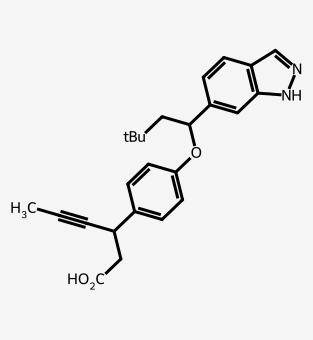 CC#CC(CC(=O)O)c1ccc(OC(CC(C)(C)C)c2ccc3cn[nH]c3c2)cc1